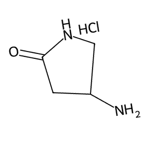 Cl.NC1CNC(=O)C1